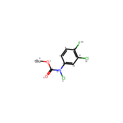 CC(C)(C)OC(=O)N(Cl)c1ccc(F)c(Cl)c1